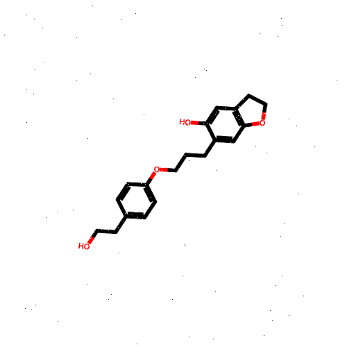 OCCc1ccc(OCCCc2cc3c(cc2O)CCO3)cc1